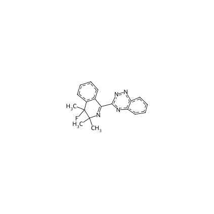 CC1(C)N=C(c2nnc3ccccc3n2)c2ccccc2C1(C)F